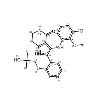 COc1c(Cl)cccc1Nc1c(-c2ccncc2OCC(C)(C)O)[nH]c2c1C(=O)NCC2